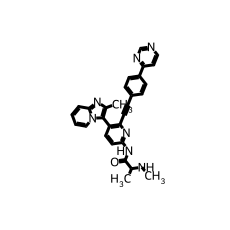 CNC(C)C(=O)Nc1ccc(-c2c(C)nc3ccccn23)c(C#Cc2ccc(-c3ccncn3)cc2)n1